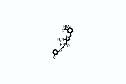 CNC(=O)c1cccc(Cn2cc(C(=O)NCCOc3cccc(Cl)c3)c(N)n2)c1